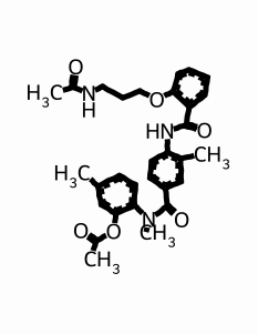 CC(=O)NCCCOc1ccccc1C(=O)Nc1ccc(C(=O)N(C)c2ccc(C)cc2OC(C)=O)cc1C